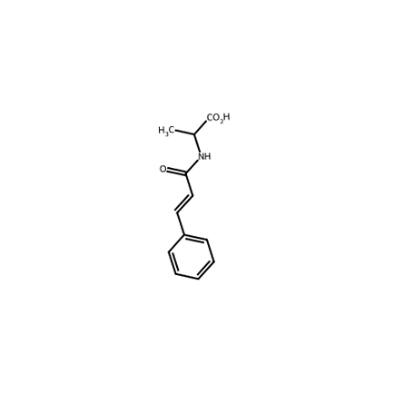 CC(NC(=O)/C=C/c1ccccc1)C(=O)O